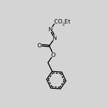 CCOC(=O)N=NC(=O)OCc1ccccc1